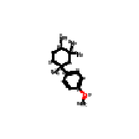 [2H]C1([2H])C[C@]([2H])(c2ccc(OCC)cc2)CC[C@H]1CCC